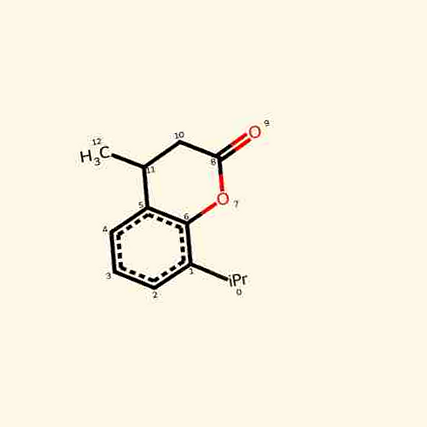 CC(C)c1cccc2c1OC(=O)CC2C